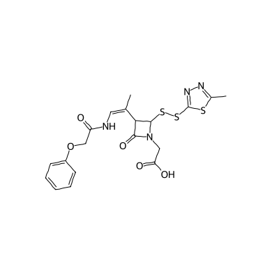 CC(=CNC(=O)COc1ccccc1)C1C(=O)N(CC(=O)O)C1SSc1nnc(C)s1